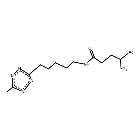 CC(=O)C(N)CCC(=O)NCCCCCc1nnc(C)nn1